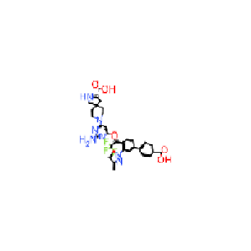 Cc1ccn(-c2cc(-c3ccc(C(=O)O)cc3)ccc2[C@@H](Oc2cc(N3CCC4(CC3)CN[C@H](C(=O)O)C4)nc(N)n2)C(F)(F)F)n1